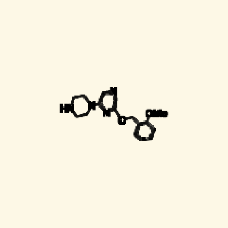 COc1ccccc1COc1cncc(N2CCNCC2)n1